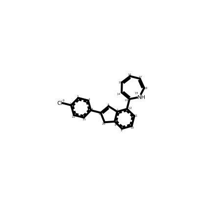 Clc1ccc(C2=Cc3c(cccc3C3=CC=CC=CN3)C2)cc1